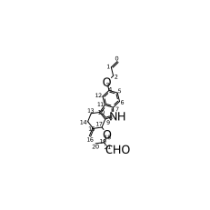 C=CCOc1ccc2[nH]c3c(c2c1)CCC(=C)C3OC(C)C=O